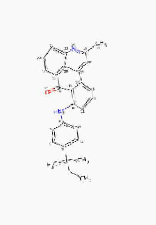 CCC(C)(C)c1ccc(Nc2cccc3c2C(=O)c2cccc4nc(C)cc-3c24)cc1